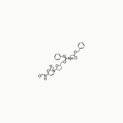 CN(/C=C\C(=O)NC=O)C1CCC(COP(NCC(=O)OCc2ccccc2)Oc2ccccc2)O1